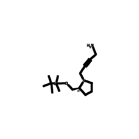 CC(C)(C)[Si](C)(C)OC[C@@H]1CCCN1CC#CCN